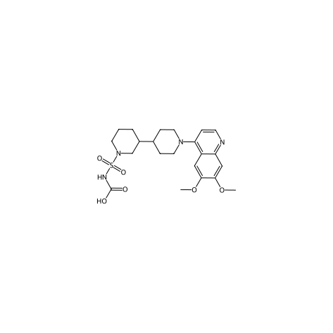 COc1cc2nccc(N3CCC(C4CCCN(S(=O)(=O)NC(=O)O)C4)CC3)c2cc1OC